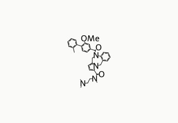 COc1cc(C(=O)N2Cc3ccc(C(=O)N(C)CCN(C)C)n3Cc3ccccc32)ccc1-c1ccccc1C